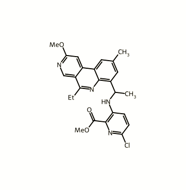 CCc1nc2c(C(C)Nc3ccc(Cl)nc3C(=O)OC)cc(C)cc2c2cc(OC)ncc12